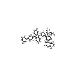 CC1(C)c2ccc(-c3c4ccccc4c(-c4ccc(-c5ccccc5)cc4)c4ccccc34)cc2-c2c1ccc1c2sc2ccc3ccccc3c21